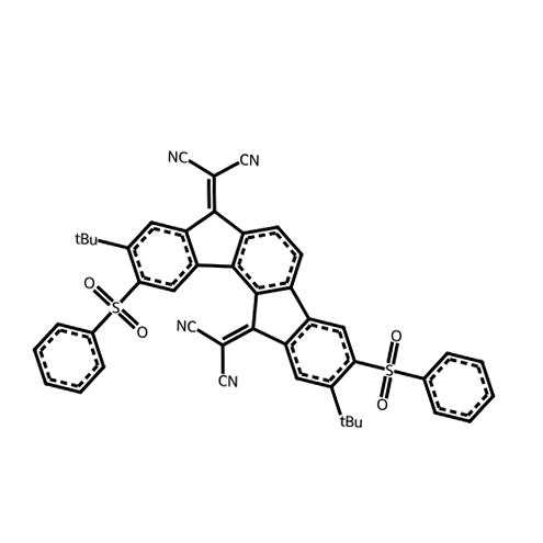 CC(C)(C)c1cc2c(cc1S(=O)(=O)c1ccccc1)-c1ccc3c(c1C2=C(C#N)C#N)-c1cc(S(=O)(=O)c2ccccc2)c(C(C)(C)C)cc1C3=C(C#N)C#N